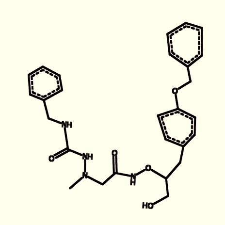 CN(CC(=O)NOC(CO)Cc1ccc(OCc2ccccc2)cc1)NC(=O)NCc1ccccc1